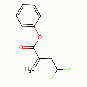 C=C(CC(F)F)C(=O)Oc1ccccc1